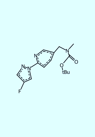 CN(Cc1ccc(-n2cc(F)cn2)nc1)C(=O)OC(C)(C)C